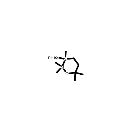 CCCCCC[Si]1(C)CCC(C)(C)O[Si]1(C)C